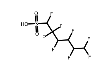 O=S(=O)(O)C(F)C(F)(F)C(F)C(F)C(F)C(F)F